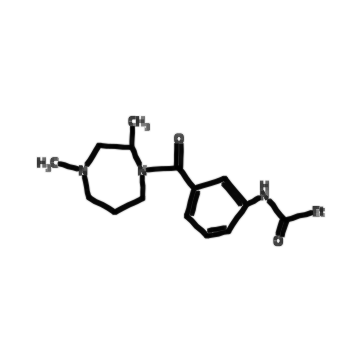 CCC(=O)Nc1cccc(C(=O)N2CCCN(C)CC2C)c1